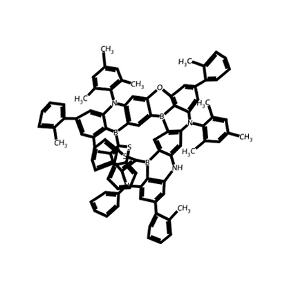 Cc1cc(C)c(N2c3cc4c(cc3B3c5cc6c(cc5Oc5cc(-c7ccccc7C)cc2c53)N(c2c(C)cc(C)cc2C)c2cc(-c3ccccc3C)cc3c2B6c2sc5ccccc5c2O3)B2c3sc5ccccc5c3N(c3ccccc3)c3cc(-c5ccccc5C)cc(c32)N4)c(C)c1